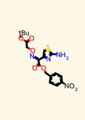 CC(C)(C)OC(=O)CO/N=C(/C(=O)OCc1ccc([N+](=O)[O-])cc1)c1csc(N)n1